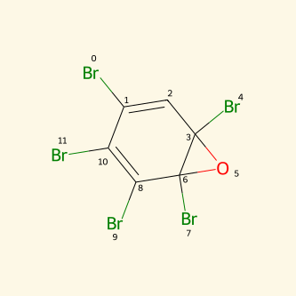 BrC1=CC2(Br)OC2(Br)C(Br)=C1Br